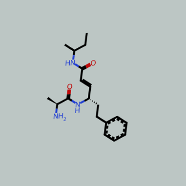 CCC(C)NC(=O)C=C[C@H](CCc1ccccc1)NC(=O)[C@H](C)N